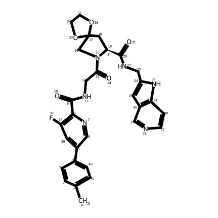 Cc1ccc(-c2cnc(C(=O)NCC(=O)N3CC4(C[C@H]3C(=O)NCc3cc5cnccc5[nH]3)OCCO4)c(F)c2)cc1